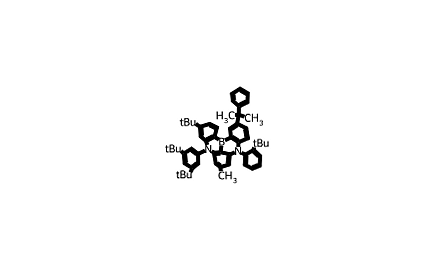 Cc1cc2c3c(c1)N(c1ccccc1C(C)(C)C)c1ccc(C(C)(C)c4ccccc4)cc1B3c1ccc(C(C)(C)C)cc1N2c1cc(C(C)(C)C)cc(C(C)(C)C)c1